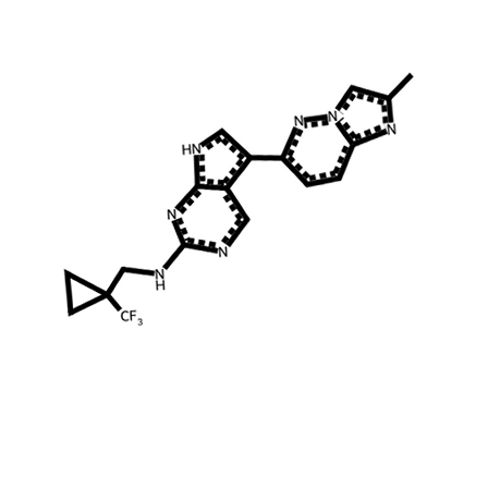 Cc1cn2nc(-c3c[nH]c4nc(NCC5(C(F)(F)F)CC5)ncc34)ccc2n1